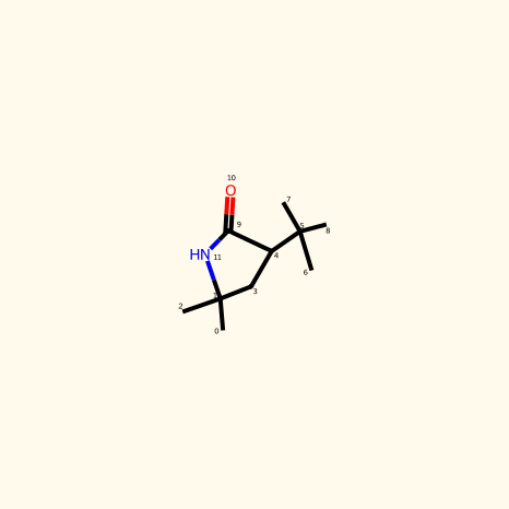 CC1(C)CC(C(C)(C)C)C(=O)N1